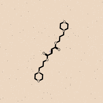 O=C(/C=C/C(=O)OCCCN1CCOCC1)OCCCN1CCOCC1